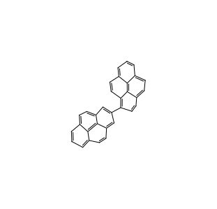 c1cc2ccc3cc(-c4ccc5ccc6cccc7ccc4c5c67)cc4ccc(c1)c2c34